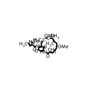 CO[C@H]1C[C@H](C)CC2=C(NC(=O)c3cc(C)nn3C)C(=O)C=C(NC(=O)/C(C)=C/C=C\[C@H](OC)C/C(C)=C/[C@H](C)C1)C2=O